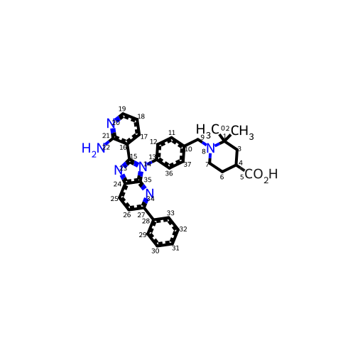 CC1(C)CC(C(=O)O)CCN1Cc1ccc(-n2c(-c3cccnc3N)nc3ccc(-c4ccccc4)nc32)cc1